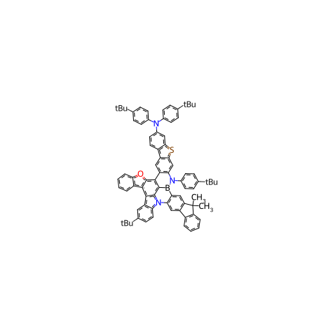 CC(C)(C)c1ccc(N2B3c4cc5c(cc4-n4c6ccc(C(C)(C)C)cc6c6c7c(oc8ccccc87)c(c3c64)-c3cc4c(cc32)sc2cc(N(c3ccc(C(C)(C)C)cc3)c3ccc(C(C)(C)C)cc3)ccc24)-c2ccccc2C5(C)C)cc1